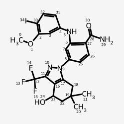 COc1cc(Nc2cc(-n3nc(C(F)(F)F)c4c3CC(C)(C)CC4O)ccc2C(N)=O)ccc1I